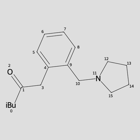 CCC(C)C(=O)Cc1ccccc1CN1CCCC1